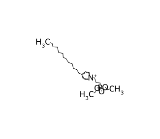 CCCCCCCCCCCCCc1cc[n+](CCCP(=O)(OCC)OCC)cc1